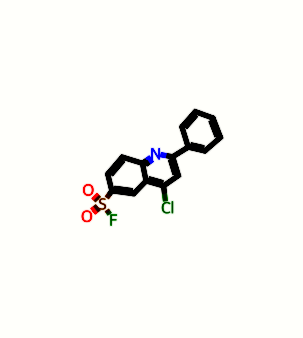 O=S(=O)(F)c1ccc2nc(-c3ccccc3)cc(Cl)c2c1